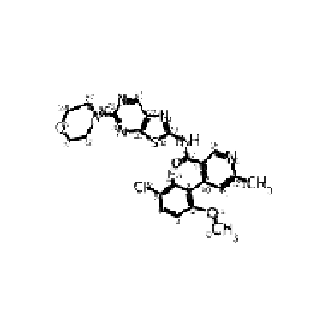 COc1ccc(Cl)c(F)c1-c1cc(C)ncc1C(=O)Nc1nc2cnc(N3CCOCC3)nc2s1